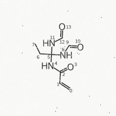 C=CC(=O)NC(CC)(NC=O)NC=O